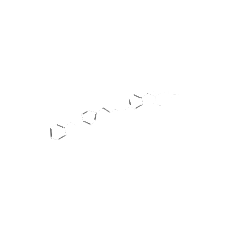 CCOC(=O)[C@H](Cc1ccc(OCC=Cc2ccc(OCc3ccccc3)cc2)cc1)OCC